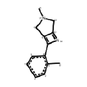 Cc1ccccc1C1=C2CN(C)CC2=N1